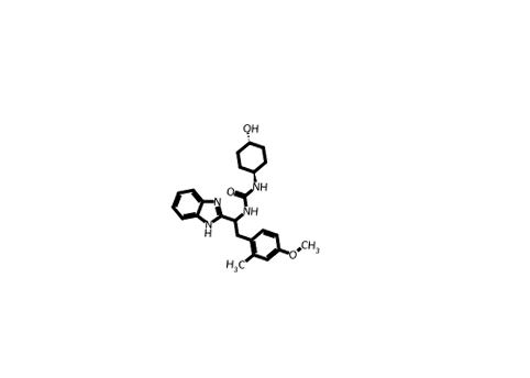 COc1ccc(CC(NC(=O)N[C@H]2CC[C@H](O)CC2)c2nc3ccccc3[nH]2)c(C)c1